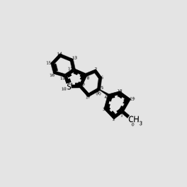 Cc1ccc([C@@H]2CCc3c(sc4c3CCC=C4)C2)cc1